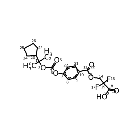 CC(C)(OC(=O)Oc1ccc(C(=O)OCC(F)(F)C(=O)O)cc1)C1CCCC1